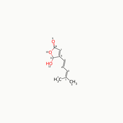 CC(C)=C/C=C/C1=CC(=O)OC1O